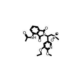 CCOc1cc(C(CS(C)(=O)=O)N2C(=O)c3cccc(NC(C)=O)c3C2=O)cnc1OC